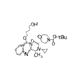 C[C@H](c1nc(OCCCCO)c2ccccc2n1)N(C(=O)[C@H]1CN(C(=O)OC(C)(C)C)CCO1)C1CC1